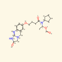 CC(OC=O)N(C(=O)CCCOc1ccc2c(c1)CN1CC(=O)NC1=N2)C1CCCC1